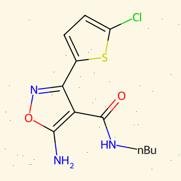 CCCCNC(=O)c1c(-c2ccc(Cl)s2)noc1N